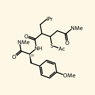 CNC(=O)CC(SC(C)=O)C(CC(C)C)C(=O)N[C@@H](Cc1ccc(OC)cc1)C(=O)NC